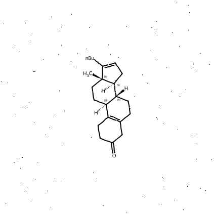 CCCCC1=CC[C@H]2[C@@H]3CCC4=C(CCC(=O)C4)[C@H]3CC[C@]12C